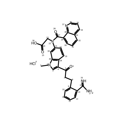 Cl.Cn1cc(C(=O)CCc2ccccc2C(=N)N)c2ccc(N(CC(=O)O)C(=O)c3cccc4cccnc34)cc21